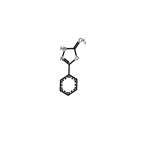 C=C1NN=C(c2ccccc2)O1